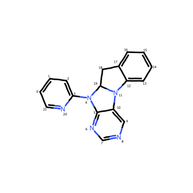 c1ccc(N2c3ncncc3N3c4ccccc4CC32)nc1